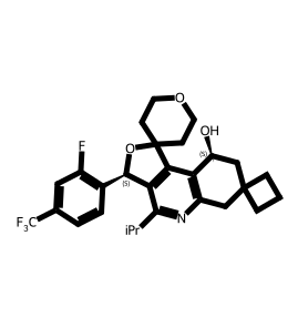 CC(C)c1nc2c(c3c1[C@@H](c1ccc(C(F)(F)F)cc1F)OC31CCOCC1)[C@@H](O)CC1(CCC1)C2